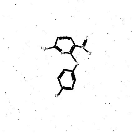 Nc1ccc([N+](=O)[O-])c(Sc2ccc(Cl)cc2)n1